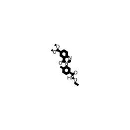 CCONC(=O)c1ccc(C)c(-n2cnc3ccc(C(OC)OC)cc3c2=O)c1